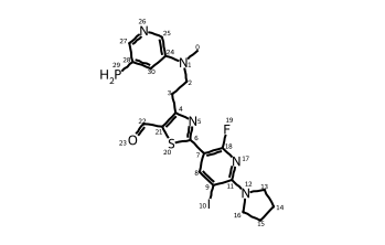 CN(CCc1nc(-c2cc(I)c(N3CCCC3)nc2F)sc1C=O)c1cncc(P)c1